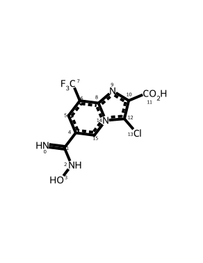 N=C(NO)c1cc(C(F)(F)F)c2nc(C(=O)O)c(Cl)n2c1